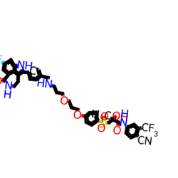 C[C@](O)(CS(=O)(=O)c1ccc(OCCCOCCCNCc2ccc(-c3[nH]c4cc(F)cc5c4c3CCNC5=O)cc2)cc1)C(=O)Nc1ccc(C#N)c(C(F)(F)F)c1